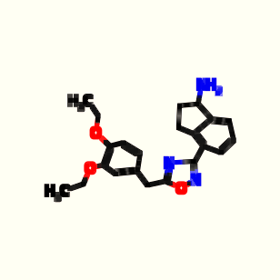 CCOc1ccc(Cc2nc(-c3cccc4c3CCC4N)no2)cc1OCC